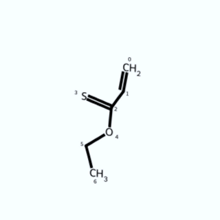 C=CC(=S)OCC